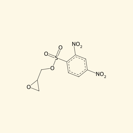 O=[N+]([O-])c1ccc(S(=O)(=O)OCC2CO2)c([N+](=O)[O-])c1